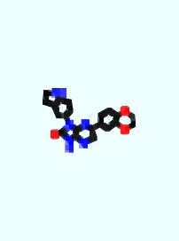 O=c1[nH]c2ncc(-c3ccc4c(c3)OCCO4)nc2n1-c1ccc2[nH]ccc2c1